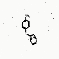 Nc1ccc(OC2CC3C=CC2O3)cc1